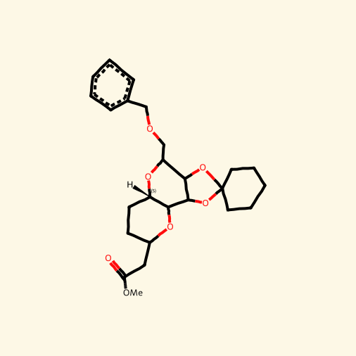 COC(=O)CC1CC[C@@H]2OC(COCc3ccccc3)C3OC4(CCCCC4)OC3C2O1